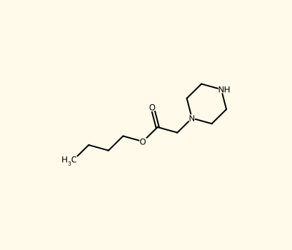 CCCCOC(=O)CN1CCNCC1